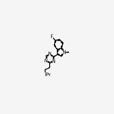 CC(C)CCc1ncnc(-c2cn(C)c3ccc(F)cc23)n1